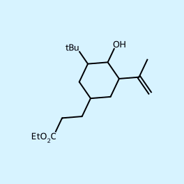 C=C(C)C1CC(CCC(=O)OCC)CC(C(C)(C)C)C1O